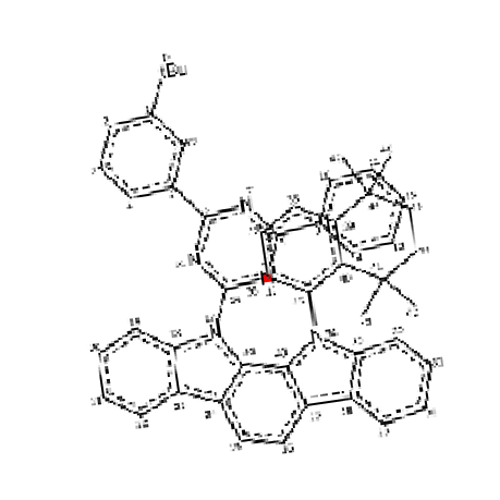 CC(C)(C)c1cccc(-c2nc(-c3ccccc3)nc(-n3c4ccccc4c4ccc5c6ccccc6n(-c6cccc7c6C(C)(C)CCC7(C)C)c5c43)n2)c1